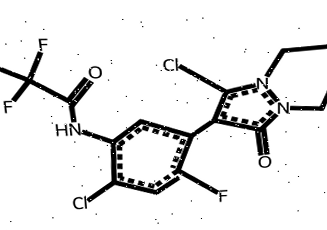 O=C(Nc1cc(-c2c(Cl)n3n(c2=O)CCCC3)c(F)cc1Cl)C(F)(F)F